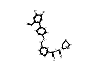 O=Cc1cc(F)c(F)cc1-c1ccc(OCc2cccc(C(=O)OC(=O)[C@@H]3CCCN3)c2)cc1